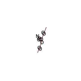 CCCCCCCCCC(=O)OCCCCCCCCOc1ccc(OCCCCCCCCOC(=O)CCCCCCC)cc1COC(=O)OCCCN(C)C